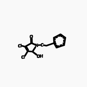 O=C1C(Cl)=C(Cl)C(O)N1CCc1ccccc1